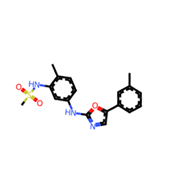 Cc1cccc(-c2cnc(Nc3ccc(C)c(NS(C)(=O)=O)c3)o2)c1